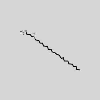 CCCCCCCCCCCCCCCCCCCCCCNCCCN